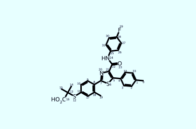 Cc1ccc(-c2sc(-c3ccc(SC(C)(C)C(=O)O)cc3C)nc2C(=O)Nc2ccc(F)cc2)cc1